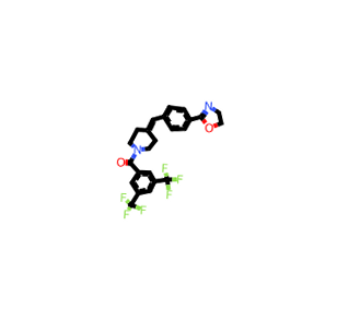 O=C(c1cc(C(F)(F)F)cc(C(F)(F)F)c1)N1CCC(=Cc2ccc(C3=NCCO3)cc2)CC1